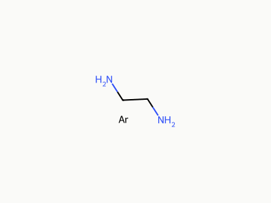 NCCN.[Ar]